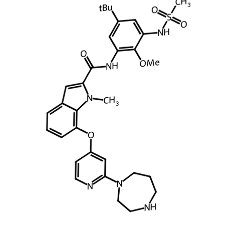 COc1c(NC(=O)c2cc3cccc(Oc4ccnc(N5CCCNCC5)c4)c3n2C)cc(C(C)(C)C)cc1NS(C)(=O)=O